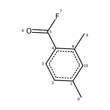 Cc1ccc(C(=O)F)c(C)c1